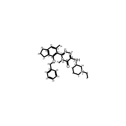 CCN1CCC[C@@H](Nc2nnc(-c3c(C)cc4c(c3OCc3ccccc3)CCC4)n(C)c2=O)C1